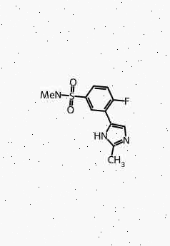 CNS(=O)(=O)c1ccc(F)c(-c2cnc(C)[nH]2)c1